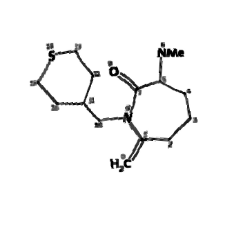 C=C1CCCC(NC)C(=O)N1CC1CCSCC1